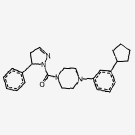 O=C(N1CCN(c2cccc(C3CCCC3)c2)CC1)N1N=CCC1c1ccccc1